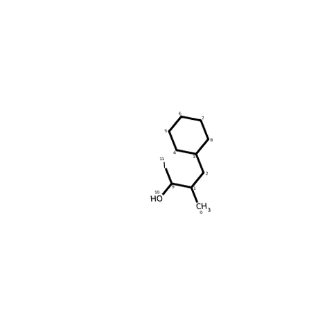 CC(CC1CCCCC1)C(O)I